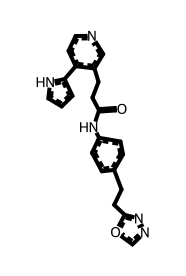 O=C(CCc1cnccc1-c1ccc[nH]1)Nc1ccc(CCc2nnco2)cc1